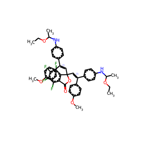 CCOC(C)Nc1ccc(/C(=C/C2(/C=C(/c3ccc(NC(C)OCC)cc3)c3ccc(OC)cc3)OC(=O)c3c(F)c(F)c(F)c(F)c32)c2ccc(OC)cc2)cc1